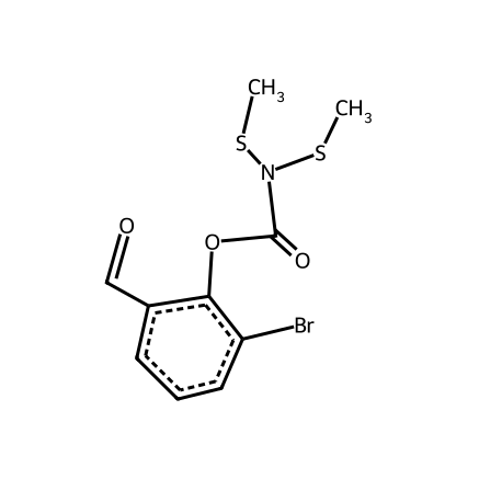 CSN(SC)C(=O)Oc1c(Br)cccc1C=O